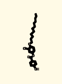 CCCCCCCCCCCCOc1ccc(OC(=O)c2ccc(O)cc2)cc1Cl